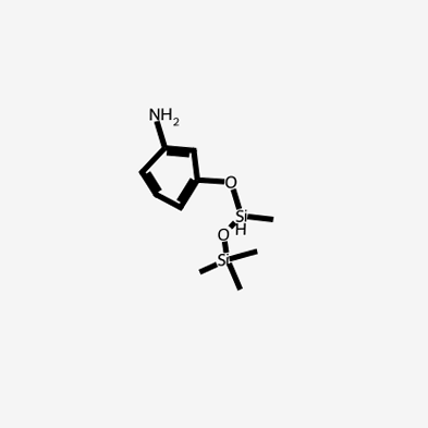 C[SiH](Oc1cccc(N)c1)O[Si](C)(C)C